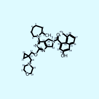 CC1CCCCCN1c1nc(OCC2(CN3CCOCC3)CC2)nc2c1CN(C(=O)c1cc(O)cc3cccc(I)c13)C2